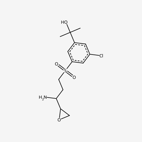 CC(C)(O)c1cc(Cl)cc(S(=O)(=O)CCC(N)C2CO2)c1